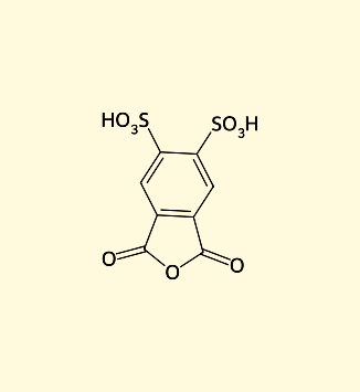 O=C1OC(=O)c2cc(S(=O)(=O)O)c(S(=O)(=O)O)cc21